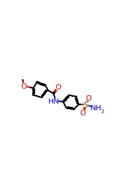 COc1ccc(C(=O)Nc2ccc(S(N)(=O)=O)cc2)cc1